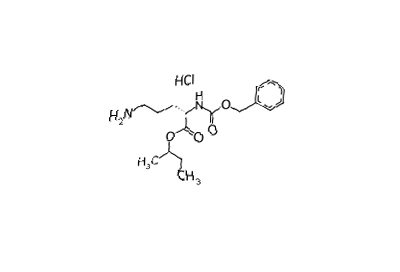 CCC(C)OC(=O)[C@H](CCCN)NC(=O)OCc1ccccc1.Cl